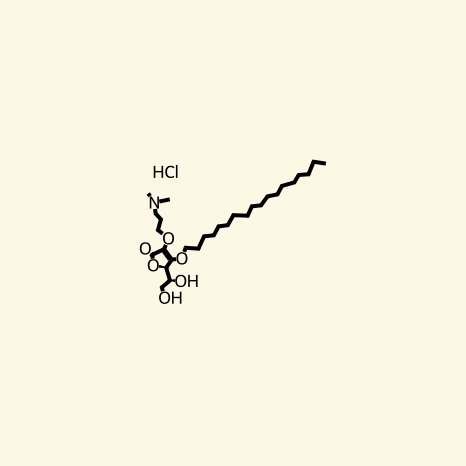 CCCCCCCCCCCCCCCCCCOC1=C(OCCCN(C)C)C(=O)O[C@@H]1[C@@H](O)CO.Cl